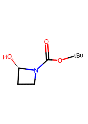 CC(C)(C)OC(=O)N1CC[C@@H]1O